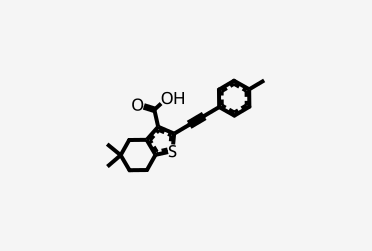 Cc1ccc(C#Cc2sc3c(c2C(=O)O)CC(C)(C)CC3)cc1